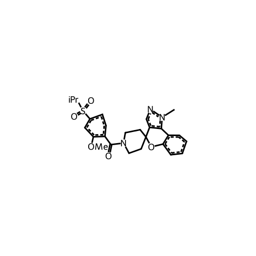 COc1cc(S(=O)(=O)C(C)C)ccc1C(=O)N1CCC2(CC1)Oc1ccccc1-c1c2cnn1C